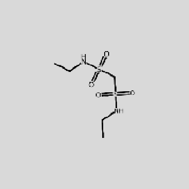 CCNS(=O)(=O)CS(=O)(=O)NCC